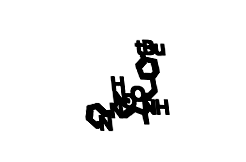 CC(NC(=O)Cc1ccc(C(C)(C)C)cc1)C1=CN(c2ccccn2)NO1